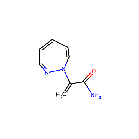 C=C(C(N)=O)N1C=CC=CC=N1